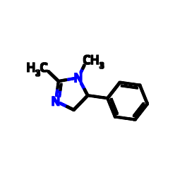 CC1=NCC(c2ccccc2)N1C